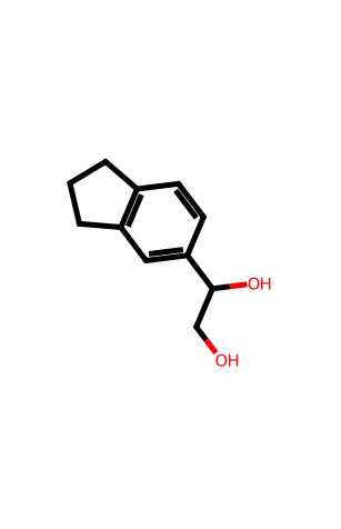 OCC(O)c1ccc2c(c1)CCC2